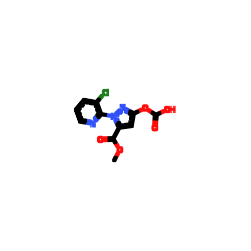 COC(=O)c1cc(OC(=O)O)nn1-c1ncccc1Cl